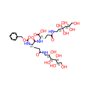 O=C(CC[C@H](NC(=O)[C@H](CCC(=O)NC[C@H](O)[C@H](O)[C@H](O)[C@@H](O)CO)NC(=O)OCc1ccccc1)C(=O)O)NC[C@H](O)[C@H](O)[C@H](O)[C@@H](O)CO